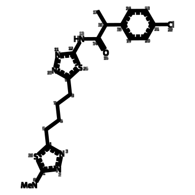 CNc1nnc(CCCCc2nnc(NC(=O)C(C)c3ccc(Cl)cc3)s2)s1